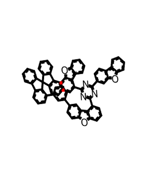 c1cc(-c2ccc3oc4cccc(-c5nc(-c6ccc7c(c6)oc6ccccc67)nc(-c6cccc7oc8ccccc8c67)n5)c4c3c2)cc(-c2cccc3c2C2(c4ccccc4-c4ccccc42)c2ccccc2-3)c1